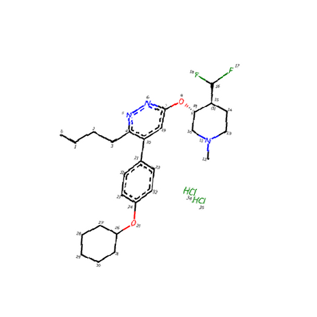 CCCCc1nnc(O[C@H]2CN(C)CC[C@@H]2C(F)F)cc1-c1ccc(OC2CCCCC2)cc1.Cl.Cl